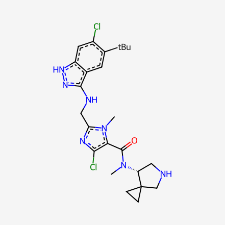 CN(C(=O)c1c(Cl)nc(CNc2n[nH]c3cc(Cl)c(C(C)(C)C)cc23)n1C)[C@@H]1CNCC12CC2